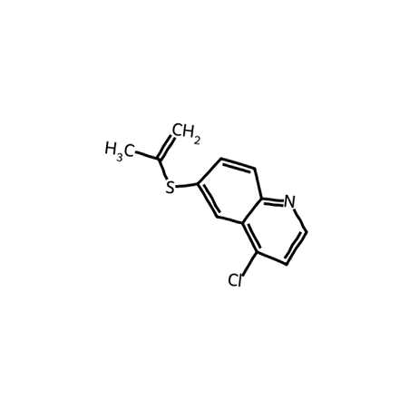 C=C(C)Sc1ccc2nccc(Cl)c2c1